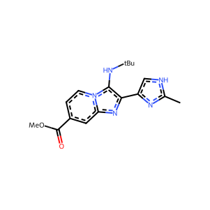 COC(=O)c1ccn2c(NC(C)(C)C)c(-c3c[nH]c(C)n3)nc2c1